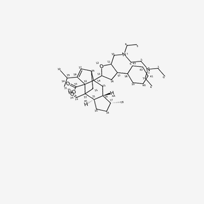 CCN(CC)CCN(CC)CC1OC(C23C[C@@H]4[C@H](C)CC[C@H]4C4(C=O)CC2C=C(C(C)C)C34C(=O)O)CC1C1CCCCC1